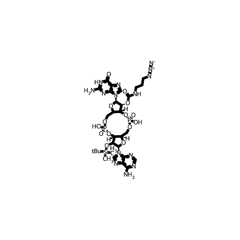 CC(C)(C)[Si](C)(C)OC1[C@H](n2cnc3c(N)ncnc32)O[C@@H]2COP(=O)(O)O[C@@H]3C(COP(=O)(O)O[C@@H]12)O[C@@H](n1cnc2c(=O)[nH]c(N)nc21)[C@@H]3OC(=O)NCCCN=[N+]=[N-]